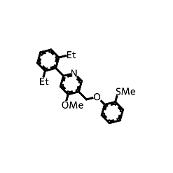 CCc1cccc(CC)c1-c1cc(OC)c(COc2ccccc2SC)cn1